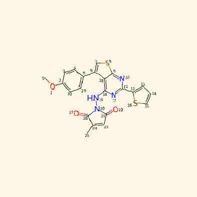 COc1ccc(-c2csc3nc(-c4cccs4)nc(NN4C(=O)C=C(C)C4=O)c23)cc1